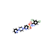 O=C(NS(=O)(=O)c1ccc(N2CCN(c3ccccn3)CC2)nc1)c1ccc(Cl)cc1Cl